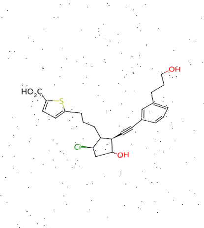 O=C(O)c1ccc(CCCC2[C@@H](C#Cc3cccc(CCCO)c3)C(O)C[C@H]2Cl)s1